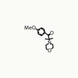 COc1ccc(C(=O)C(C)(C)N2CCOCC2)cc1